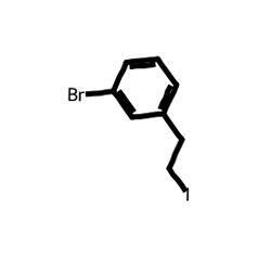 Brc1cccc(CCI)c1